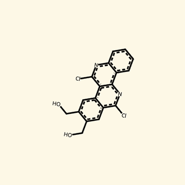 OCc1cc2c(Cl)nc3c4ccccc4nc(Cl)c3c2cc1CO